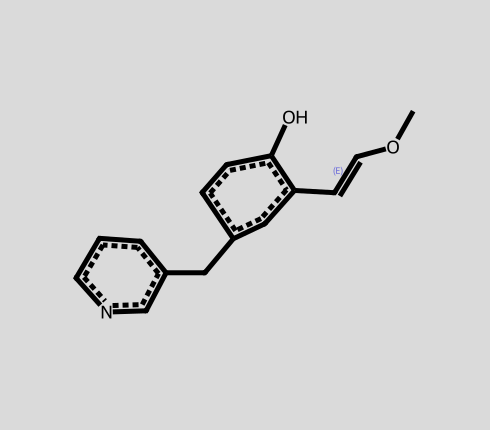 CO/C=C/c1cc(Cc2cccnc2)ccc1O